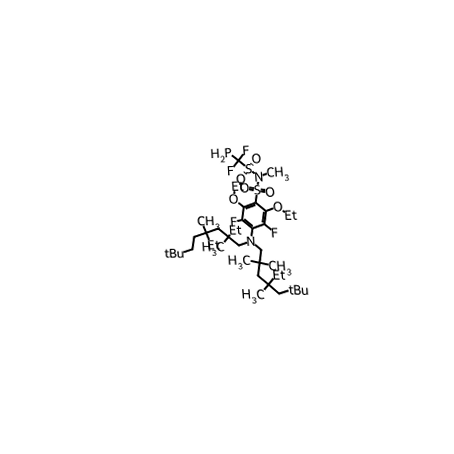 CCOc1c(F)c(N(CC(C)(C)CC(C)(CC)CC(C)(C)C)CC(C)(CC)CC(C)(CC)CCC(C)(C)C)c(F)c(OCC)c1S(=O)(=O)N(C)S(=O)(=O)C(F)(F)P